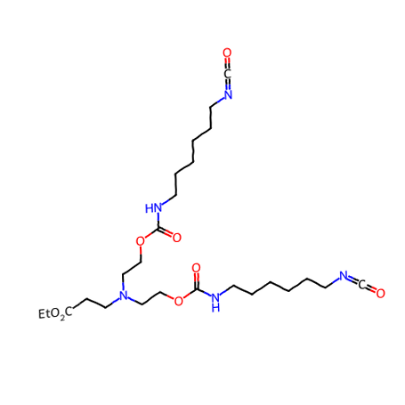 CCOC(=O)CCN(CCOC(=O)NCCCCCCN=C=O)CCOC(=O)NCCCCCCN=C=O